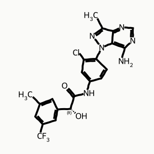 Cc1cc([C@@H](O)C(=O)Nc2ccc(-n3nc(C)c4ncnc(N)c43)c(Cl)c2)cc(C(F)(F)F)c1